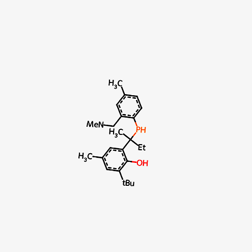 CCC(C)(Pc1ccc(C)cc1CNC)c1cc(C)cc(C(C)(C)C)c1O